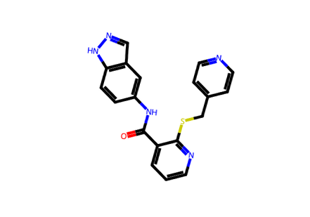 O=C(Nc1ccc2[nH]ncc2c1)c1cccnc1SCc1ccncc1